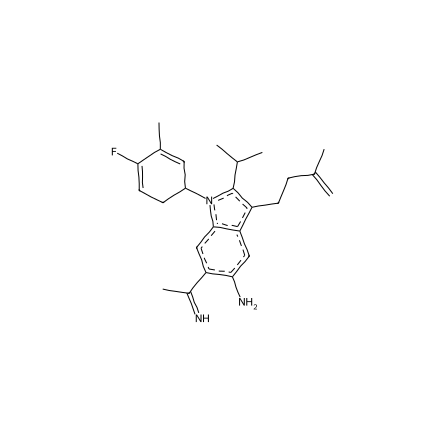 C=C(C)CCc1c(C(C)C)n(C2C=C(C)C(F)=CC2)c2cc(C(C)=N)c(N)cc12